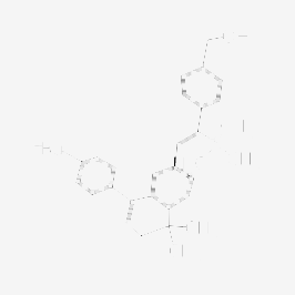 CC(C)(C)c1ccc(C2=CCC(C)(C)c3ccc(/C=C(/c4ccc(CO)cc4)[Si](C)(C)C)cc32)cc1